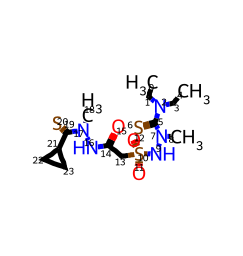 CCN(CC)C(=S)N(C)NS(=O)(=O)CC(=O)NN(C)C(=S)C1CC1